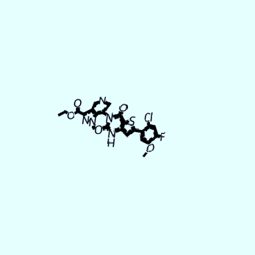 CCOC(=O)c1nn(C)c2c(-n3c(=O)[nH]c4cc(-c5cc(OC)c(F)cc5Cl)sc4c3=O)cncc12